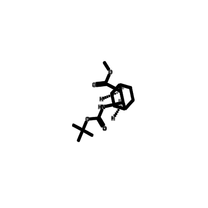 COC(=O)[C@H]1C2CCC(CC2)[C@H]1NC(=O)OC(C)(C)C